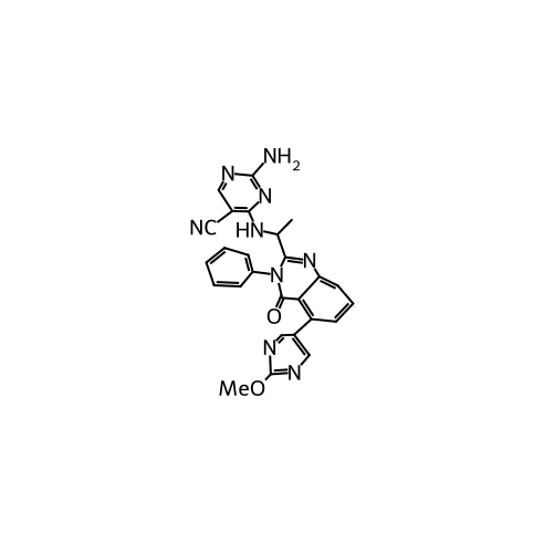 COc1ncc(-c2cccc3nc(C(C)Nc4nc(N)ncc4C#N)n(-c4ccccc4)c(=O)c23)cn1